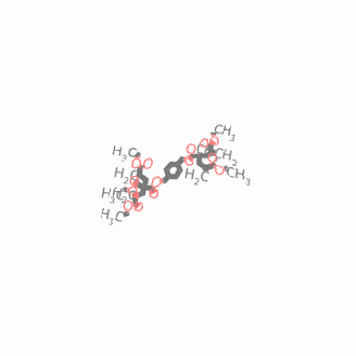 C=C(CC(C)(CC(=C)C(=O)OCC)C(=O)OCC1CCC(COC(=O)C(CC(=C)C(=O)OCC)(CC(=C)C(=O)OCC)C(=O)OCC)CC1)C(=O)OCC